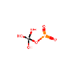 O=P(=O)O[Si](O)(O)O